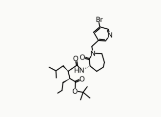 CCC[C@H](C(=O)OC(C)(C)C)[C@@H](CC(C)C)C(=O)N[C@H]1CCCCN(Cc2cncc(Br)c2)C1=O